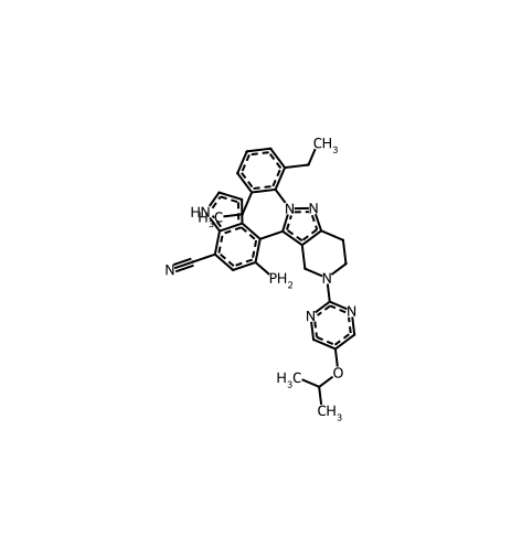 CCc1cccc(CC)c1-n1nc2c(c1-c1c(P)cc(C#N)c3[nH]ccc13)CN(c1ncc(OC(C)C)cn1)CC2